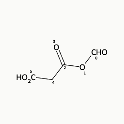 O=COC(=O)CC(=O)O